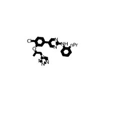 CCCc1ccccc1Nc1ncc(-c2ccc(Cl)c(OC(C)Cn3cnnn3)c2)cn1